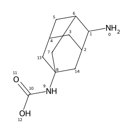 NC1C2CC3CC1CC(NC(=O)O)(C3)C2